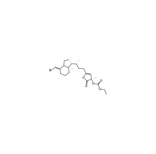 CCOC(=O)O[C@]1(C)C=C(CC[C@@H](C)[C@H]2CCC3/C(=C/Br)CCC[C@@]32C)OC1=O